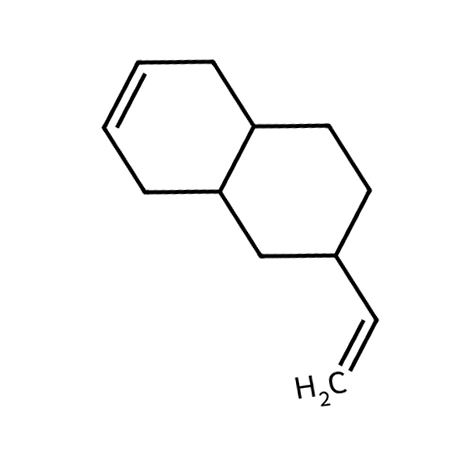 C=CC1CCC2CC=CCC2C1